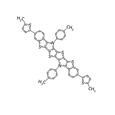 Cc1ccc(-n2c3c4ccc(-c5ccc(C)s5)cc4sc3c3sc4c(sc5c6sc7cc(-c8ccc(C)s8)ccc7c6n(-c6ccc(C)cc6)c54)c32)cc1